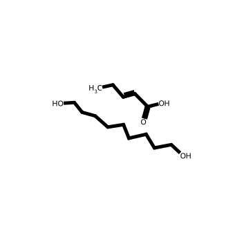 CCC=CC(=O)O.OCCCCCCCCCO